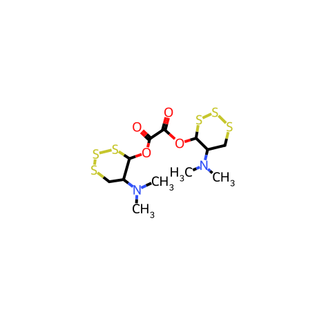 CN(C)C1CSSSC1OC(=O)C(=O)OC1SSSCC1N(C)C